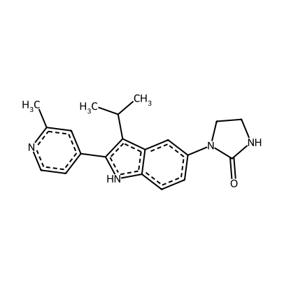 Cc1cc(-c2[nH]c3ccc(N4CCNC4=O)cc3c2C(C)C)ccn1